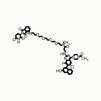 CC(=O)N1CCN(c2nc(NCCC(=O)N(C)CCOCCOCCOCCOCCNc3cccc4c3C(=O)N(C3CCC(=O)NC3=O)C4=O)nc3c(F)c(-c4cc(O)cc5ccccc45)c(Cl)cc23)CC1